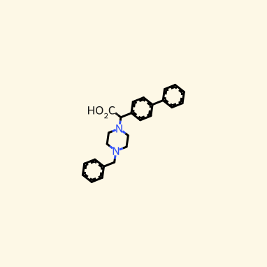 O=C(O)C(c1ccc(-c2ccccc2)cc1)N1CCN(Cc2ccccc2)CC1